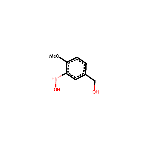 COc1ccc(CO)cc1BO